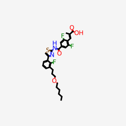 CCCCCCOCCCc1cccc(-c2csc(NC(=O)c3cc(F)c(/C=C(\C)C(=O)O)c(F)c3)n2)c1F